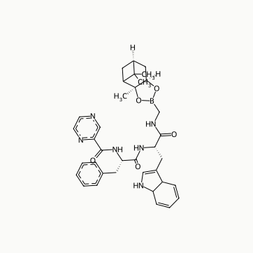 CC1(C)C2C[C@H]1C[C@H]1OB(CNC(=O)[C@H](CC3=CNC4C=CC=CC34)NC(=O)[C@H](Cc3ccccc3)NC(=O)c3cnccn3)O[C@@]21C